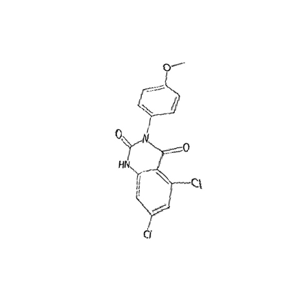 COc1ccc(-n2c(=O)[nH]c3cc(Cl)cc(Cl)c3c2=O)cc1